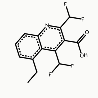 CCc1cccc2nc(C(F)F)c(C(=O)O)c(C(F)F)c12